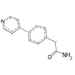 NC(=O)[CH]c1ccc(-c2ccncc2)cc1